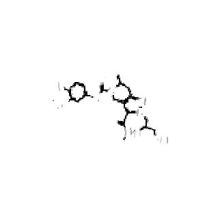 CC1Cc2nn3c(c2CN1C(=O)Nc1ccc(F)c(C#N)c1)C(=O)N(C)N=C(CO)C3